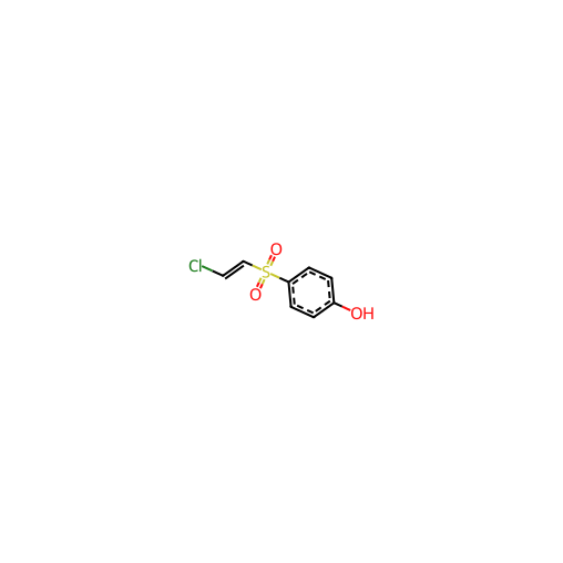 O=S(=O)(C=CCl)c1ccc(O)cc1